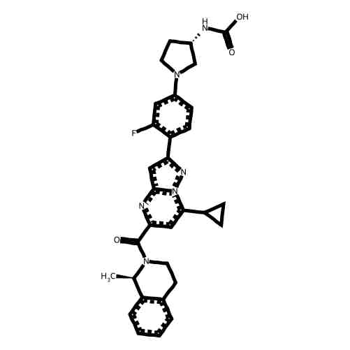 C[C@@H]1c2ccccc2CCN1C(=O)c1cc(C2CC2)n2nc(-c3ccc(N4CC[C@H](NC(=O)O)C4)cc3F)cc2n1